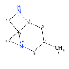 CC1CC2NCC23CN3C1